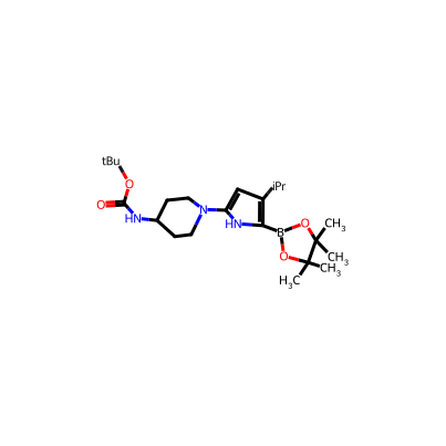 CC(C)c1cc(N2CCC(NC(=O)OC(C)(C)C)CC2)[nH]c1B1OC(C)(C)C(C)(C)O1